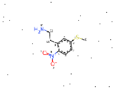 CSc1ccc([N+](=O)[O-])c(CCN)c1